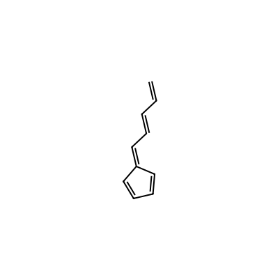 C=CC=CC=C1C=CC=C1